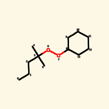 CCCC(C)(C)OO[C]1CCCCC1